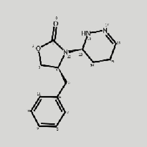 O=C1OC[C@H](Cc2ccccc2)N1[C@@H]1CCC=NN1